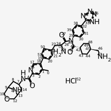 Cc1cc(C(=O)NC2CC3COCC(C2)N3)ncc1-c1ccc(C[C@H](N)C(=O)N(c2ccc(-c3nnn[nH]3)cc2)C(=O)[C@H]2CC[C@H](CN)CC2)cc1.Cl